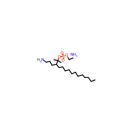 CCCCCCCCCCCCC(CCCN)C(C)(C)OS(=O)(=O)OCC.N